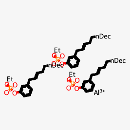 CCCCCCCCCCCCC=CCc1cccc(OP(=O)([O-])OCC)c1.CCCCCCCCCCCCC=CCc1cccc(OP(=O)([O-])OCC)c1.CCCCCCCCCCCCC=CCc1cccc(OP(=O)([O-])OCC)c1.[Al+3]